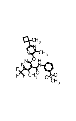 Cc1nc(C2(C)CCC2)cnc1Oc1nnc(C(F)(F)F)c(C)c1C(=O)Nc1cccc(S(C)(=O)=O)c1